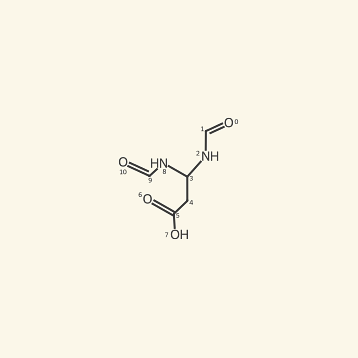 O=CNC(CC(=O)O)NC=O